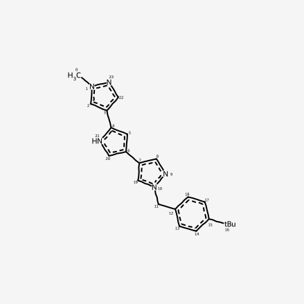 Cn1cc(-c2cc(-c3cnn(Cc4ccc(C(C)(C)C)cc4)c3)c[nH]2)cn1